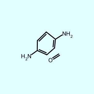 C=O.Nc1ccc(N)cc1